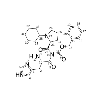 N[C@@H](Cc1c[nH]cn1)C(=O)N(C(=O)OCc1ccccc1)C(=O)[C@@H]1CCCN1C1CCCCC1